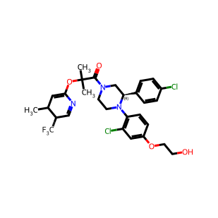 CC1C=C(OC(C)(C)C(=O)N2CCN(c3ccc(OCCO)cc3Cl)[C@H](c3ccc(Cl)cc3)C2)N=CC1C(F)(F)F